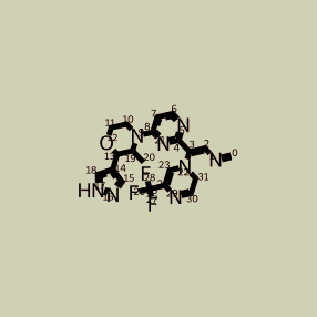 C=N/C=C(/c1nccc(N2CCOC(c3cn[nH]c3)C2C)n1)N1C=C(C(F)(F)F)N=CC1